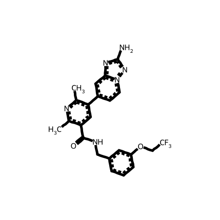 Cc1nc(C)c(-c2ccn3nc(N)nc3c2)cc1C(=O)NCc1cccc(OCC(F)(F)F)c1